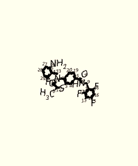 CC1Sc2cc(C(=O)NCc3c(F)cc(F)cc3F)ccc2N(Cc2c(N)cccc2F)C1=O